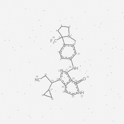 CN1CCCC1(c1ccc(Nc2nn(C(CC#N)C3CC3)c3cc[nH]c(=O)c23)cc1)C(F)(F)F